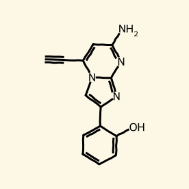 C#Cc1cc(N)nc2nc(-c3ccccc3O)cn12